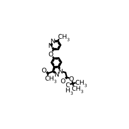 CC(=O)c1nn(CC(=O)OC(C)(C)C)c2ccc(Oc3ccc(C)nn3)cc12